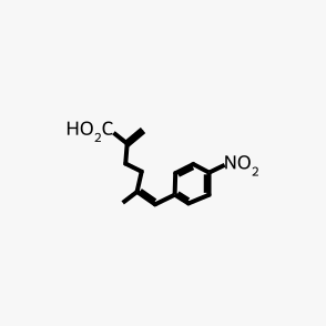 C=C(CCC(C)=Cc1ccc([N+](=O)[O-])cc1)C(=O)O